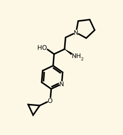 N[C@H](CN1CCCC1)C(O)c1ccc(OC2CC2)nc1